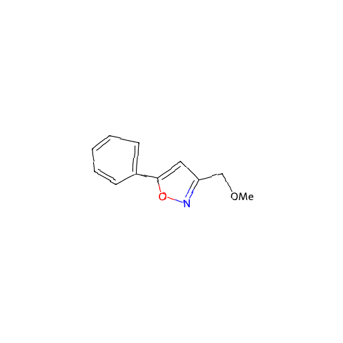 COCc1cc(-c2ccccc2)on1